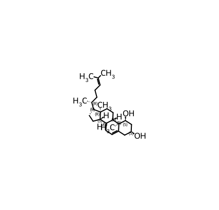 CC(C)=CCC[C@@H](C)[C@H]1CC[C@H]2[C@@H]3CC=C4C[C@H](O)C[C@H](O)[C@]4(C)[C@H]3CC[C@]12C